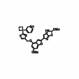 COc1cc(OCc2csc(C3(C4=CC=CNC4)CCC3)n2)c2cc(-c3cn4c(n3)SC(OC)N4)oc2c1